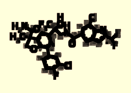 C[C@]1(C(N)=O)COc2c1cc([C@@](O)(CNC(=O)c1cc(Cl)c3nn(C(F)F)cc3c1)C(F)(F)F)nc2-c1ccc(F)c(Cl)c1